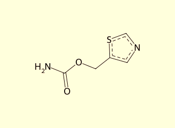 NC(=O)OCc1cncs1